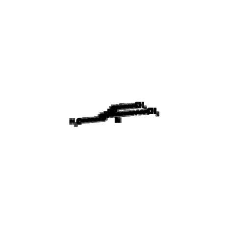 CCCCCCCCCCCCCCCCCCCCC(C=Nc1ccc(CCCCCCCCCCC)cc1)=Nc1ccc(CCCCCCCCCCC)cc1.[Ni]